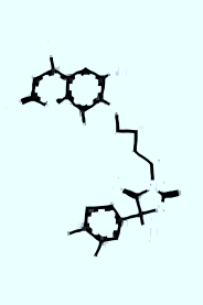 CCCc1cc2c(C(F)(F)F)cc(=O)oc2c(CCC)c1OCCCCN1C(=O)NC(C)(c2ccc(Cl)c(Cl)c2)C1=O